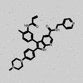 C=CC(=O)Nc1cc(-c2c(-c3ccc(N4CCN(C)CC4)cc3)[nH]c3ncc(C(=O)NCc4ccncc4)cc23)ccc1C